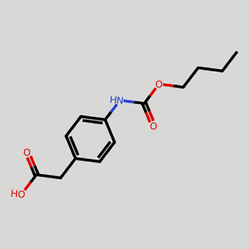 CCCCOC(=O)Nc1ccc(CC(=O)O)cc1